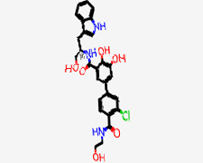 O=C(NCCO)c1ccc(-c2cc(O)c(O)c(C(=O)N[C@@H](CO)Cc3c[nH]c4ccccc34)c2)cc1Cl